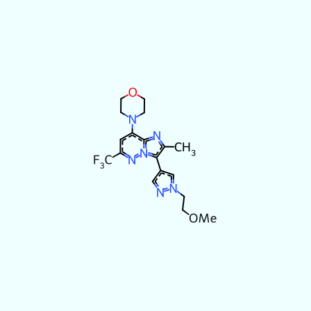 COCCn1cc(-c2c(C)nc3c(N4CCOCC4)cc(C(F)(F)F)nn23)cn1